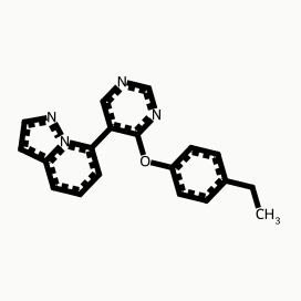 CCc1ccc(Oc2ncncc2-c2cccc3ccnn23)cc1